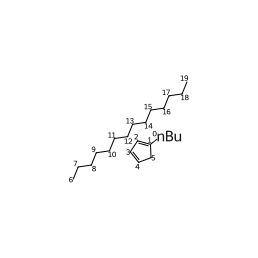 CCCCC1=CC=CC1.CCCCCCCCCCCCCC